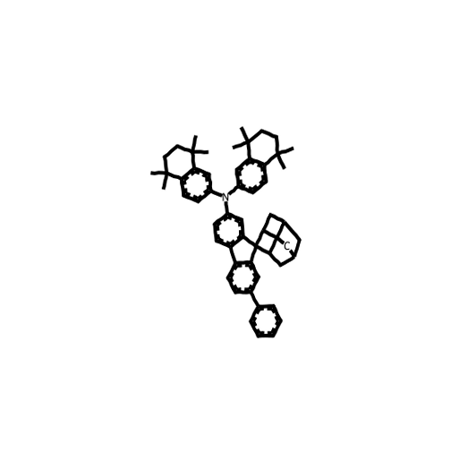 CC1(C)CCC(C)(C)c2cc(N(c3ccc4c(c3)C(C)(C)CCC4(C)C)c3ccc4c(c3)C3(c5cc(-c6ccccc6)ccc5-4)C4CC5CC6CC3C64C5)ccc21